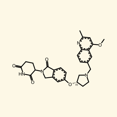 COc1cc(C)nc2ccc(CN3CC[C@H](Oc4ccc5c(c4)CN(C4CCC(=O)NC4=O)C5=O)C3)cc12